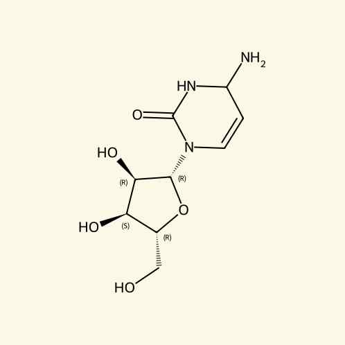 NC1C=CN([C@@H]2O[C@H](CO)[C@@H](O)[C@H]2O)C(=O)N1